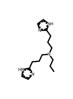 CCCN(CCCc1ncc[nH]1)CCCc1ncc[nH]1